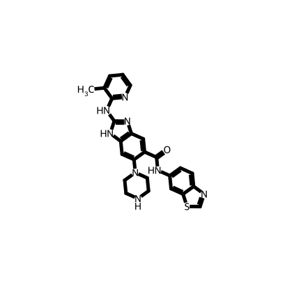 Cc1cccnc1Nc1nc2cc(C(=O)Nc3ccc4ncsc4c3)c(N3CCNCC3)cc2[nH]1